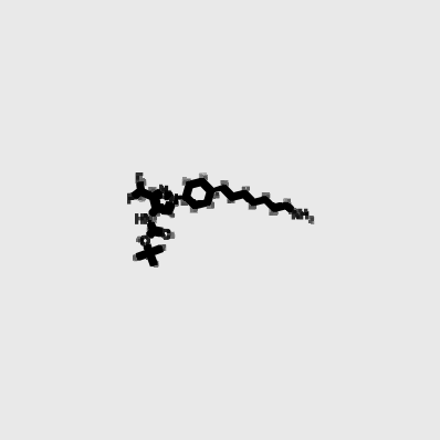 CC(C)(C)OC(=O)Nc1cn([C@H]2CC[C@H](CCCCCCCN)CC2)nc1C(F)F